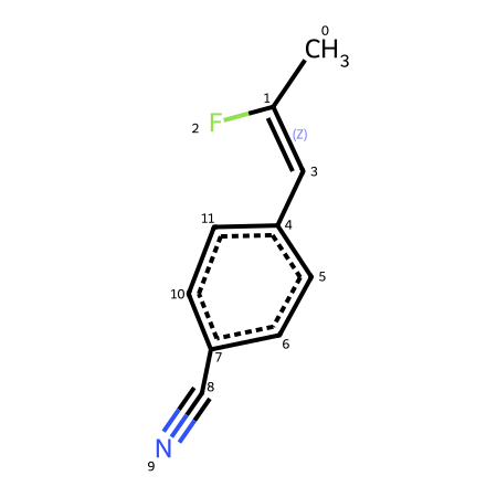 C/C(F)=C/c1ccc(C#N)cc1